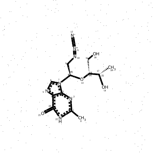 Cc1nc2c(ncn2[C@@H](CN=[N+]=[N-])O[C@H](CO)[C@H](C)O)c(=O)[nH]1